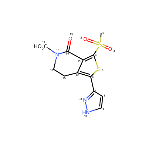 CS(=O)(=O)c1sc(-c2cc[nH]n2)c2c1C(=O)N(C(=O)O)CC2